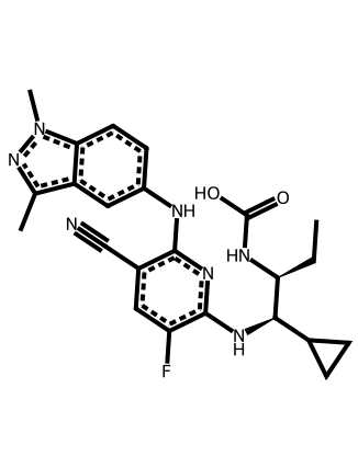 CC[C@H](NC(=O)O)[C@H](Nc1nc(Nc2ccc3c(c2)c(C)nn3C)c(C#N)cc1F)C1CC1